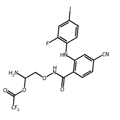 N#Cc1ccc(C(=O)NOCC(N)OC(=O)C(F)(F)F)c(Nc2ccc(I)cc2F)c1